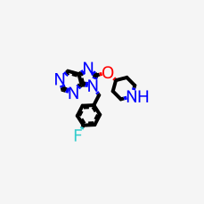 Fc1ccc(Cn2c(OC3CCNCC3)nc3cncnc32)cc1